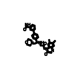 Cc1cc2ncc(=O)n(CC(=O)CNC(CN3CCOCC3)c3ccc(-c4cccc(C(N)=O)c4)cc3)c2cc1C